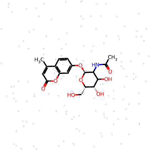 CC(=O)NC1C(O)[C@H](O)[C@H](CO)O[C@H]1Oc1ccc2c(C)cc(=O)oc2c1